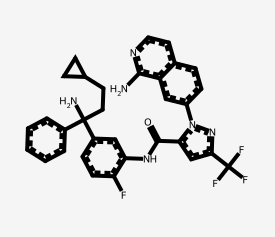 Nc1nccc2ccc(-n3nc(C(F)(F)F)cc3C(=O)Nc3cc(C(N)(CCC4CC4)c4ccccc4)ccc3F)cc12